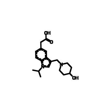 CC(C)n1cc(CN2CCC(O)CC2)c2cc(CC(=O)O)ccc21